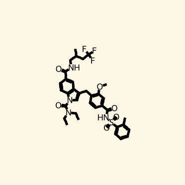 CCN(CC)C(=O)n1cc(Cc2ccc(C(=O)NS(=O)(=O)c3ccccc3C)cc2OC)c2cc(C(=O)NCC(C)CC(F)(F)F)ccc21